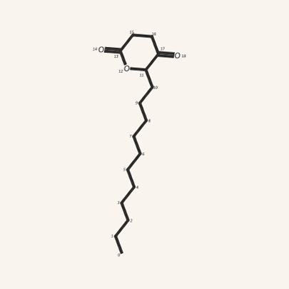 CCCCCCCCCCCC1OC(=O)CCC1=O